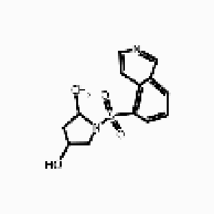 CC1CC(O)CN1S(=O)(=O)c1cccc2cnccc12